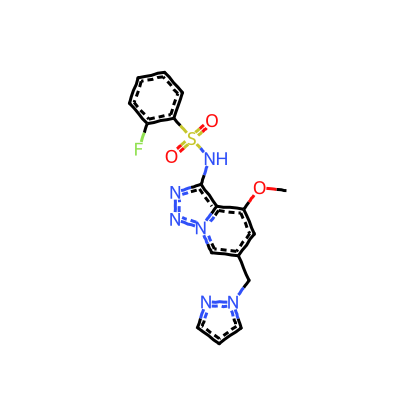 COc1cc(Cn2cccn2)cn2nnc(NS(=O)(=O)c3ccccc3F)c12